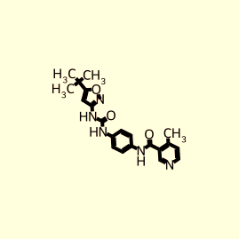 Cc1ccncc1C(=O)Nc1ccc(NC(=O)Nc2cc(C(C)(C)C)on2)cc1